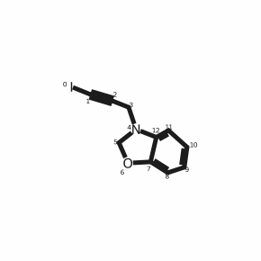 IC#CCN1COc2ccccc21